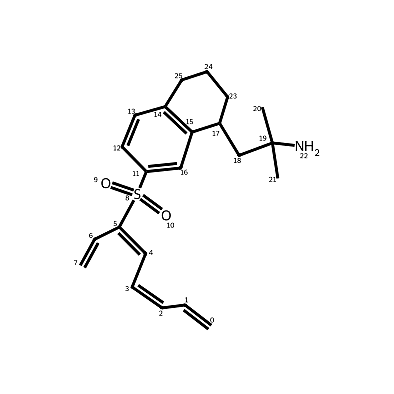 C=C/C=C\C=C(/C=C)S(=O)(=O)c1ccc2c(c1)C(CC(C)(C)N)CCC2